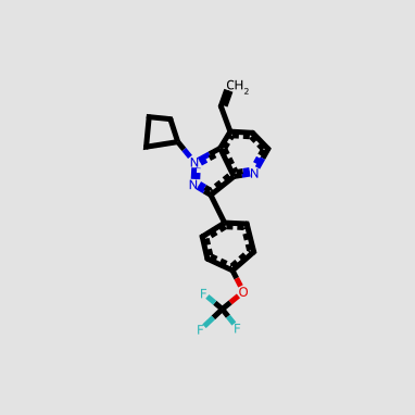 C=Cc1ccnc2c(-c3ccc(OC(F)(F)F)cc3)nn(C3CCC3)c12